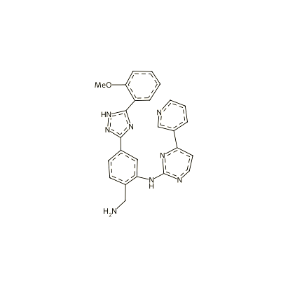 COc1ccccc1-c1nc(-c2ccc(CN)c(Nc3nccc(-c4cccnc4)n3)c2)n[nH]1